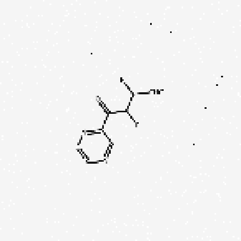 O=CC(F)C(F)C(=O)c1cnccn1